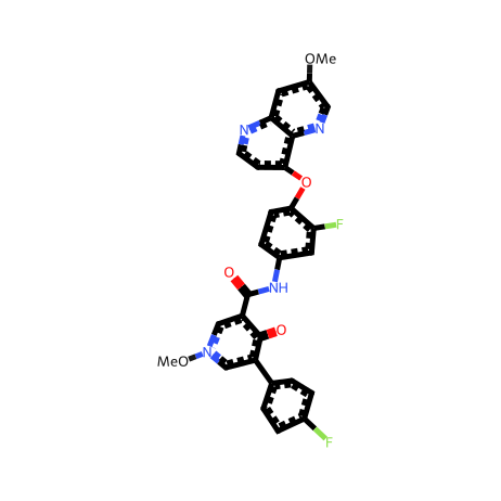 COc1cnc2c(Oc3ccc(NC(=O)c4cn(OC)cc(-c5ccc(F)cc5)c4=O)cc3F)ccnc2c1